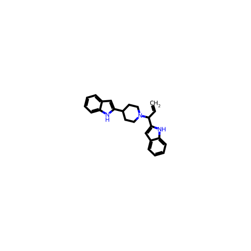 C=CC(c1cc2ccccc2[nH]1)N1CCC(c2cc3ccccc3[nH]2)CC1